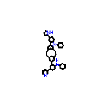 Cc1c2cc3c4cc(-c5ccc[nH]5)ccc4n(-c4ccccc4)c3c1CCc1cc(cc(-c3cc(-c4cccnc4)ccc3NC3C=CC=CC3)c1)CC2